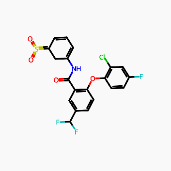 O=C(NC1=CC=CC(=S(=O)=O)C1)c1cc(C(F)F)ccc1Oc1ccc(F)cc1Cl